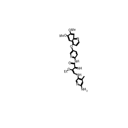 CCO/C(=C/Nc1cnc(N)cc1C)C(=N)C(=O)Nc1ccc(Oc2ccnc3cc(OC)c(OC)cc23)cn1